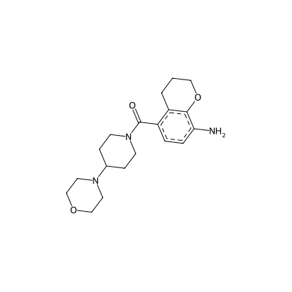 Nc1ccc(C(=O)N2CCC(N3CCOCC3)CC2)c2c1OCCC2